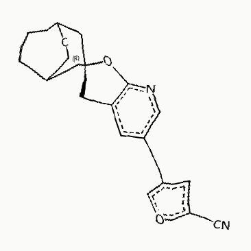 N#Cc1cc(-c2cnc3c(c2)C[C@@]2(CC4CCC2CC4)O3)co1